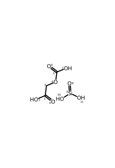 O=C(O)COC(=O)O.O=[Si](O)O